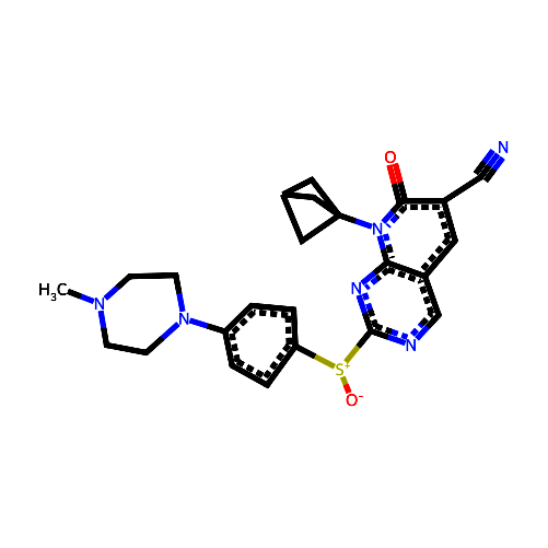 CN1CCN(c2ccc([S+]([O-])c3ncc4cc(C#N)c(=O)n(C56CC(C5)C6)c4n3)cc2)CC1